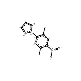 Cc1cc([N+](=O)[O-])c(C)nc1-n1nccn1